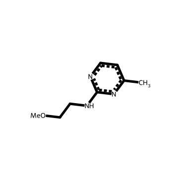 COCCNc1nccc(C)n1